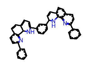 C1=Cc2ccc(-c3ccccc3)nc2C2NC(c3cccc(C4C=Cc5ccc6ccc(-c7ccccc7)nc6c5N4)c3)=CC=C12